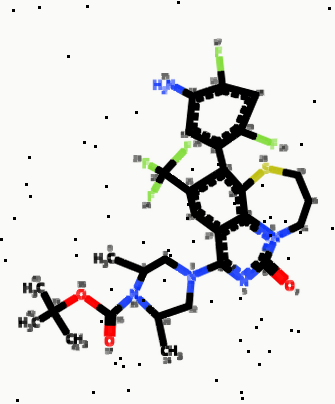 CC1CN(c2nc(=O)n3c4c(c(-c5cc(N)c(F)cc5F)c(C(F)(F)F)cc24)SCCC3)CC(C)N1C(=O)OC(C)(C)C